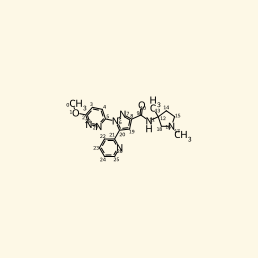 COc1ccc(-n2nc(C(=O)NC3(C)CCN(C)C3)cc2-c2ccccn2)nn1